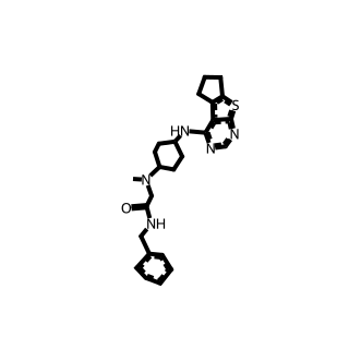 CN(CC(=O)NCc1ccccc1)C1CCC(Nc2ncnc3sc4c(c23)CCC4)CC1